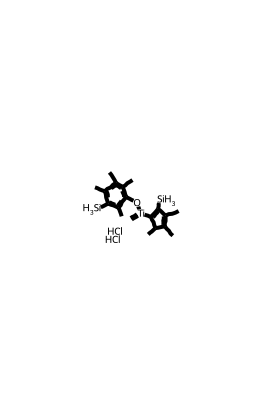 Cl.Cl.[CH2]=[Ti]([O]c1c(C)c(C)c(C)c([SiH3])c1C)[C]1=C([SiH3])C(C)=C(C)C1C